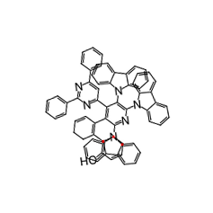 OC1=C(C2=C(c3c(-n4c5ccccc5c5ccccc54)nc(-n4c5ccccc5c5ccccc54)c(-n4c5ccccc5c5ccccc54)c3-c3cc(-c4ccccc4)nc(-c4ccccc4)n3)C=CCC2)CCC=C1